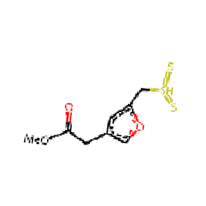 COC(=O)Cc1coc(C[SH](=S)=S)c1